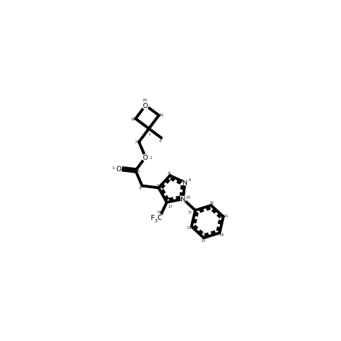 CC1(COC(=O)Cc2cnn(-c3ccccc3)c2C(F)(F)F)COC1